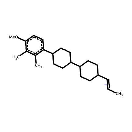 C/C=C/C1CCC(C2CCC(c3ccc(OC)c(C)c3C)CC2)CC1